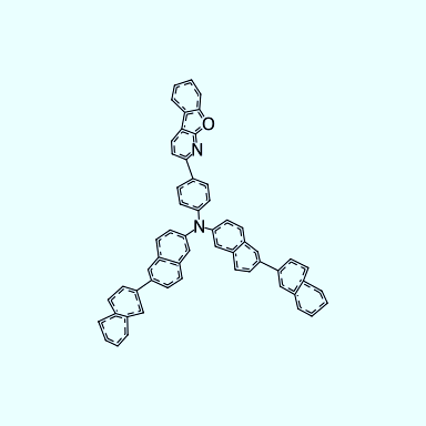 c1ccc2cc(-c3ccc4cc(N(c5ccc(-c6ccc7c(n6)oc6ccccc67)cc5)c5ccc6cc(-c7ccc8ccccc8c7)ccc6c5)ccc4c3)ccc2c1